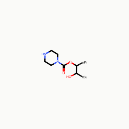 CCCC(OC(=O)N1CCNCC1)C(O)C(C)(C)C